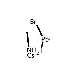 CN.[Br][Pb][I].[Cs]